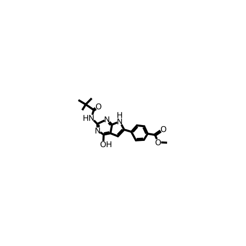 COC(=O)c1ccc(-c2cc3c(O)nc(NC(=O)C(C)(C)C)nc3[nH]2)cc1